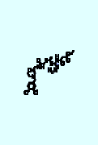 C=C(SCC(=O)NC[C@H]1CN(Cc2ccc(Cl)c(Cl)c2)CCO1)S/C(=N\N)NC(=O)CC(=O)OCC